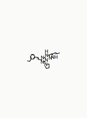 C/C=C/c1cc(Nc2nc(/C=C/c3cccc(CC)c3)nc(N3CCCC3)n2)n[nH]1